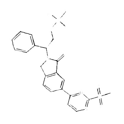 CC(C)(C)[Si](C)(C)OC[C@H](c1ccccc1)N1Cc2ccc(-c3ccnc(S(C)(=O)=O)n3)cc2C1=O